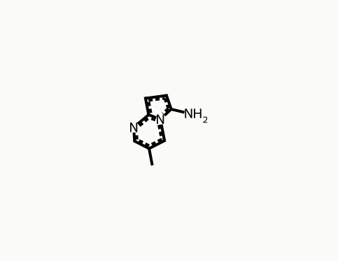 Cc1cnc2ccc(N)n2c1